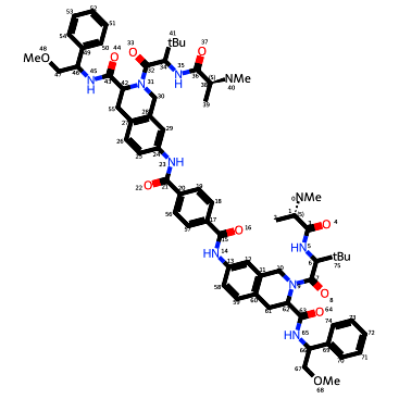 CN[C@@H](C)C(=O)NC(C(=O)N1Cc2cc(NC(=O)c3ccc(C(=O)Nc4ccc5c(c4)CN(C(=O)C(NC(=O)[C@H](C)NC)C(C)(C)C)C(C(=O)NC(COC)c4ccccc4)C5)cc3)ccc2CC1C(=O)NC(COC)c1ccccc1)C(C)(C)C